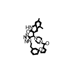 Cc1cc(C)c2cc(C(c3nnnn3CCc3ccccc3)N3CCN(C(=O)c4ccco4)CC3)c(=O)[nH]c2c1